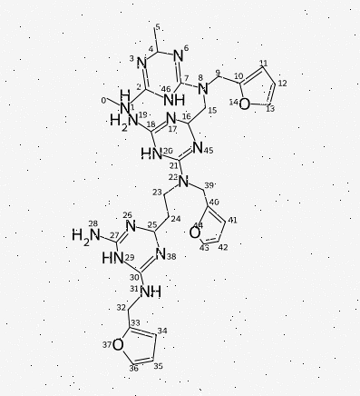 CNC1=NC(C)N=C(N(Cc2ccco2)CC2N=C(N)NC(N(CCC3N=C(N)NC(NCc4ccco4)=N3)Cc3ccco3)=N2)N1